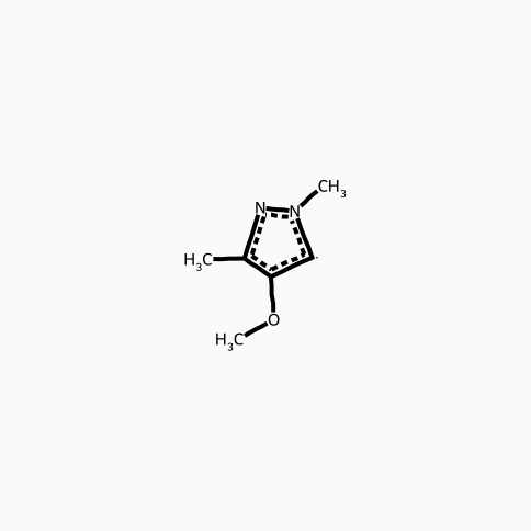 COc1[c]n(C)nc1C